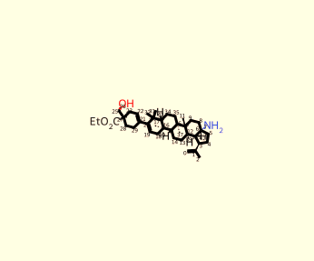 C=C(C)[C@@H]1CC[C@]2(N)CC[C@]3(C)[C@H](CC[C@@H]4[C@@]5(C)CC=C(C6=CC[C@](CO)(C(=O)OCC)CC6)C(C)(C)[C@@H]5CC[C@]43C)[C@@H]12